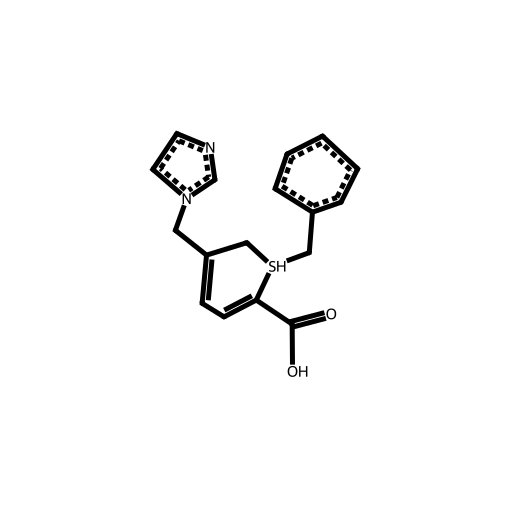 O=C(O)C1=CC=C(Cn2ccnc2)C[SH]1Cc1ccccc1